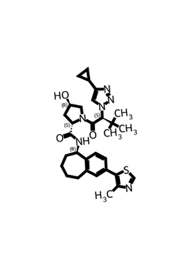 Cc1ncsc1-c1ccc2c(c1)CCCC[C@H]2NC(=O)[C@@H]1C[C@@H](O)CN1C(=O)[C@@H](n1cc(C2CC2)nn1)C(C)(C)C